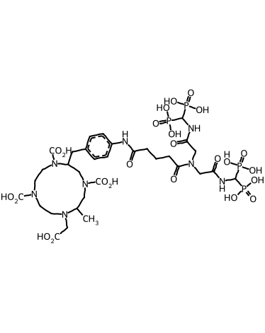 CC1CN(C(=O)O)CC(Cc2ccc(NC(=O)CCCC(=O)N(CC(=O)NC(P(=O)(O)O)P(=O)(O)O)CC(=O)NC(P(=O)(O)O)P(=O)(O)O)cc2)N(C(=O)O)CCN(C(=O)O)CCN1CC(=O)O